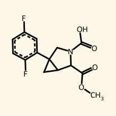 COC(=O)C1C2CC2(c2cc(F)ccc2F)CN1C(=O)O